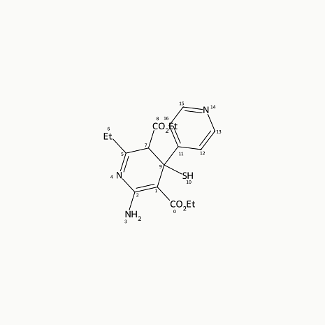 CCOC(=O)C1=C(N)N=C(CC)C(C(=O)OCC)C1(S)c1ccncc1